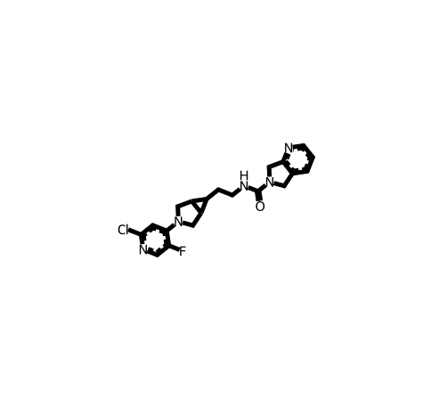 O=C(NCCC1C2CN(c3cc(Cl)ncc3F)CC12)N1Cc2cccnc2C1